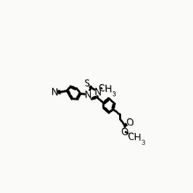 COC(=O)CCc1ccc(-c2cn(-c3ccc(C#N)cc3)c(=S)n2C)cc1